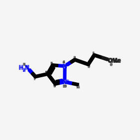 COCCCn1cc(CN)c[n+]1C